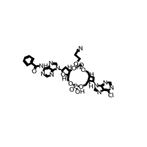 N#CCCOP1(=O)OC[C@H]2C[C@@H](n3cnc4c(Cl)ncnc43)[C@@H]2COP(=O)(O)OC[C@H]2O[C@@H](n3cnc4c(NC(=O)c5ccccc5)ncnc43)C[C@@H]2O1